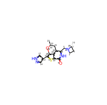 C[C@@H]1CCN1Cc1[nH]c(=O)c2sc(-c3cn[nH]c3)c3c2c1C[C@H](C)O3